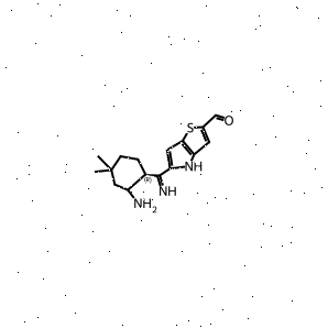 CC1(C)CC[C@@H](C(=N)c2cc3sc(C=O)cc3[nH]2)C(N)C1